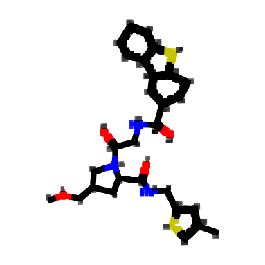 COCC1CC(C(=O)NCc2cc(C)cs2)N(C(=O)CNC(=O)c2ccc3sc4ccccc4c3c2)C1